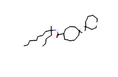 CCCCCCCC(C)(CCCC)NC(=O)C1CCCCC(C)(BC2(C)CCCCCCC2)CCC1